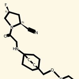 CCOOCC12CCC(NCC(=O)N3C[C@@H](F)C[C@H]3C#N)(CC1)CC2